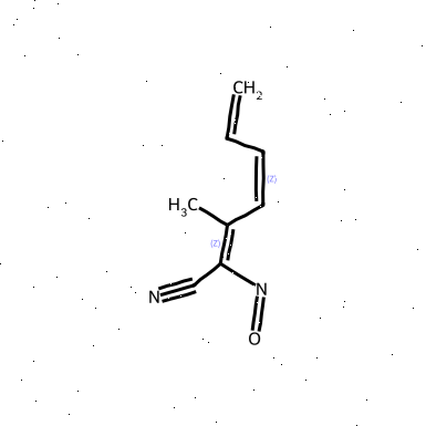 C=C/C=C\C(C)=C(\C#N)N=O